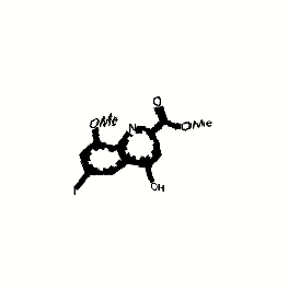 COC(=O)c1cc(O)c2cc(I)cc(OC)c2n1